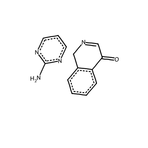 Nc1ncccn1.O=C1C=NCc2ccccc21